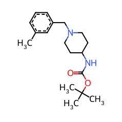 Cc1cccc(CN2CCC(NC(=O)OC(C)(C)C)CC2)c1